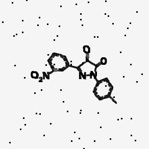 Cc1ccc(N2N=C(c3cccc([N+](=O)[O-])c3)C(=O)C2=O)cc1